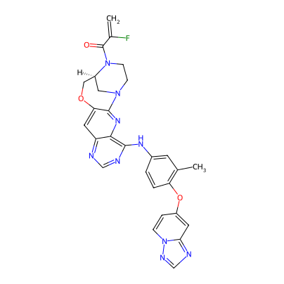 C=C(F)C(=O)N1CCN2C[C@H]1COc1cc3ncnc(Nc4ccc(Oc5ccn6ncnc6c5)c(C)c4)c3nc12